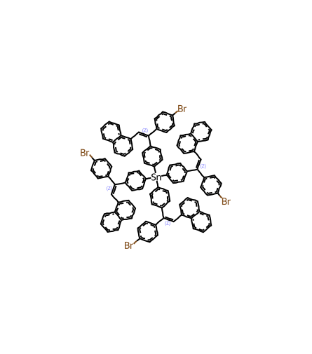 Brc1ccc(/C(=C/c2cccc3ccccc23)c2cc[c]([Sn]([c]3ccc(/C(=C\c4cccc5ccccc45)c4ccc(Br)cc4)cc3)([c]3ccc(/C(=C\c4cccc5ccccc45)c4ccc(Br)cc4)cc3)[c]3ccc(/C(=C\c4cccc5ccccc45)c4ccc(Br)cc4)cc3)cc2)cc1